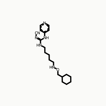 N#CN=C(NCCCCCNOCC1CCCCC1)Nc1ccncc1